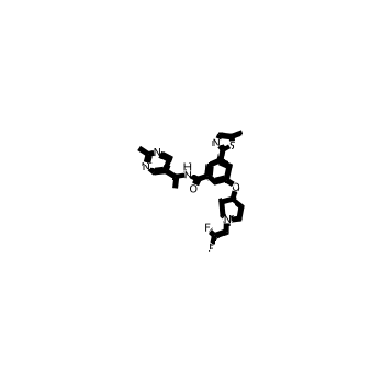 Cc1ncc(C(C)NC(=O)c2cc(OC3CCN(CC(F)F)CC3)cc(-c3ncc(C)s3)c2)cn1